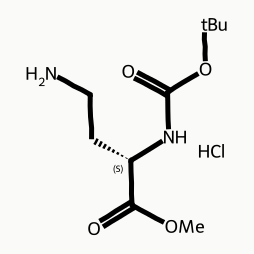 COC(=O)[C@H](CCN)NC(=O)OC(C)(C)C.Cl